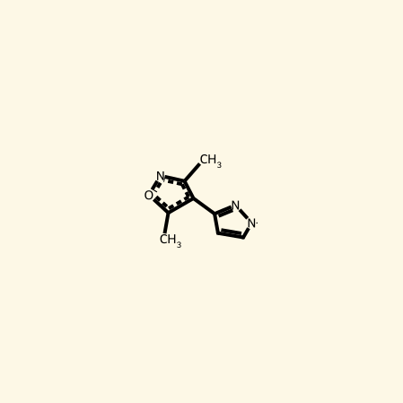 Cc1noc(C)c1C1=N[N]C=C1